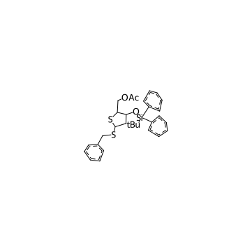 CC(=O)OCC1SC(SCc2ccccc2)CC1O[Si](c1ccccc1)(c1ccccc1)C(C)(C)C